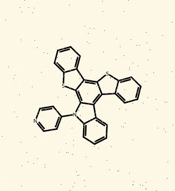 c1ccc2c(c1)sc1c2c2sc3ccccc3c2c2c3ccccc3n(-c3ccncc3)c12